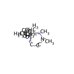 CCN1CCCCC/C=C/[C@H](OC)[C@@H](O[Si](C)(C)C(C)(C)C)[C@H](C)/C=C(/C)C1